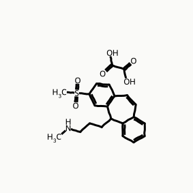 CNCCCC1c2ccccc2C=Cc2ccc(S(C)(=O)=O)cc21.O=C(O)C(=O)O